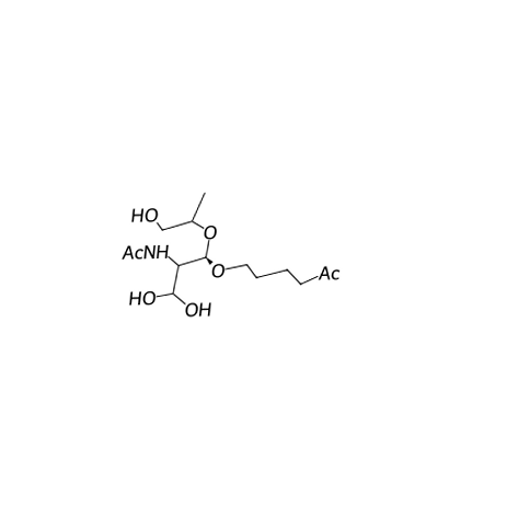 CC(=O)CCCCO[C@H](OC(C)CO)C(NC(C)=O)C(O)O